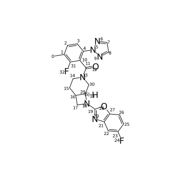 Cc1ccc(-n2nccn2)c(C(=O)N2CCC3CN(c4nc5cc(F)ccc5o4)[C@@H]3C2)c1F